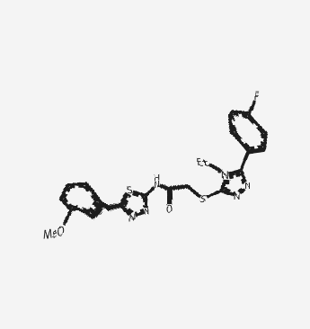 CCn1c(SCC(=O)Nc2nnc(-c3cccc(OC)c3)s2)nnc1-c1ccc(F)cc1